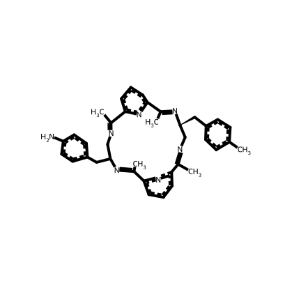 C/C1=N\C[C@H](Cc2ccc(C)cc2)/N=C(\C)c2cccc(n2)/C(C)=N/CC(Cc2ccc(N)cc2)/N=C(\C)c2cccc1n2